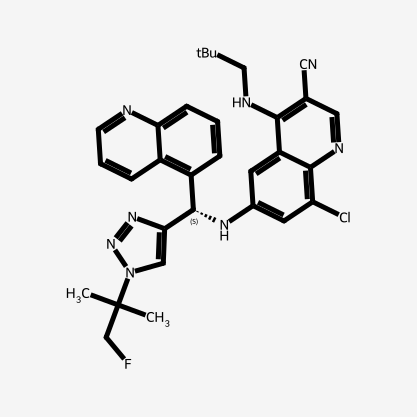 CC(C)(C)CNc1c(C#N)cnc2c(Cl)cc(N[C@H](c3cn(C(C)(C)CF)nn3)c3cccc4ncccc34)cc12